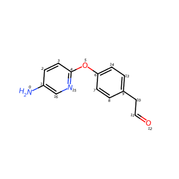 Nc1ccc(Oc2ccc(CC=O)cc2)nc1